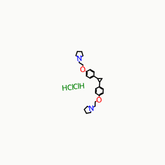 Cl.Cl.c1cc(C2CC2c2ccc(OCCN3CCCC3)cc2)ccc1OCCN1CCCC1